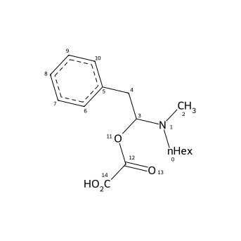 CCCCCCN(C)C(Cc1ccccc1)OC(=O)C(=O)O